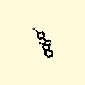 N#Cc1ccc(C(Br)C2(Br)Cc3ccccc3C2=O)cc1